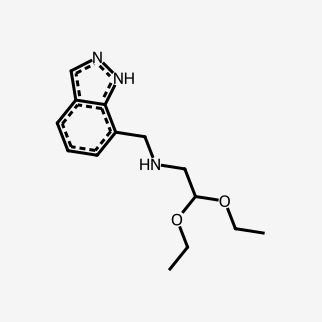 CCOC(CNCc1cccc2cn[nH]c12)OCC